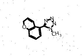 Cn1nnnc1-c1cccc2c1C=CCO2